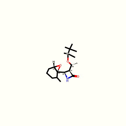 CC1CCC[C@@H]2O[C@@]12[C@@H]1NC(=O)[C@@H]1[C@@H](C)O[Si](C)(C)C(C)(C)C